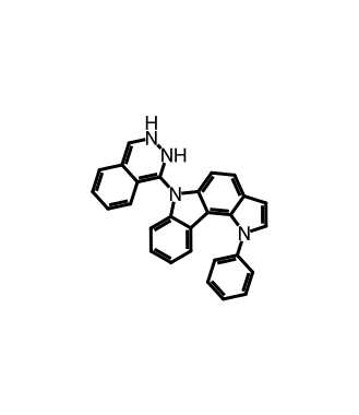 C1=c2ccccc2=C(n2c3ccccc3c3c4c(ccc32)ccn4-c2ccccc2)NN1